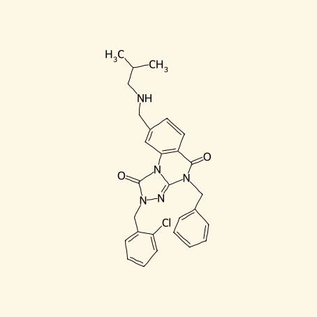 CC(C)CNCc1ccc2c(=O)n(Cc3ccccc3)c3nn(Cc4ccccc4Cl)c(=O)n3c2c1